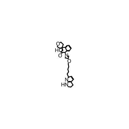 CCC1(c2ccccc2C(C(=O)O)N2CC(OCCCCCc3ccc4c(n3)NCCC4)C2)CCOCC1